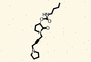 CCCCNC(=O)O[C@H]1CCN(CC#CCN2CCCC2)C1=O